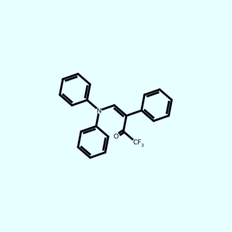 O=C(C(=CN(c1ccccc1)c1ccccc1)c1ccccc1)C(F)(F)F